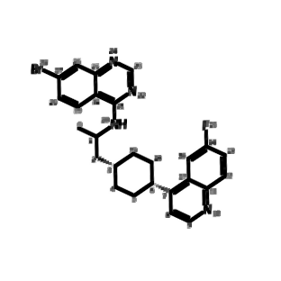 CC(C[C@H]1CC[C@@H](c2ccnc3ccc(F)cc32)CC1)Nc1ncnc2cc(Br)ccc12